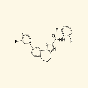 O=C(Nc1c(F)cccc1F)c1nc2c(s1)-c1cc(-c3ccnc(F)c3)ccc1CCC2